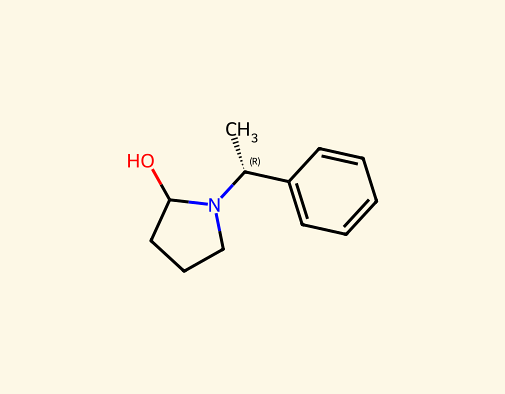 C[C@H](c1ccccc1)N1CCCC1O